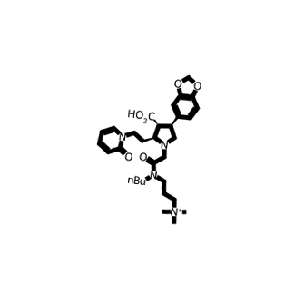 CCCCN(CCC[N+](C)(C)C)C(=O)CN1C[C@H](c2ccc3c(c2)OCO3)[C@@H](C(=O)O)[C@@H]1CCn1ccccc1=O